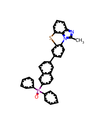 Cc1nc2cccc3c2n1-c1ccc(-c2ccc4cc(P(=O)(c5ccccc5)c5ccccc5)ccc4c2)cc1S3